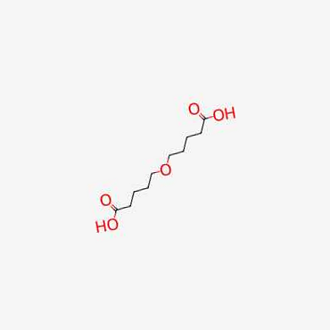 O=C(O)CCCCOCCCCC(=O)O